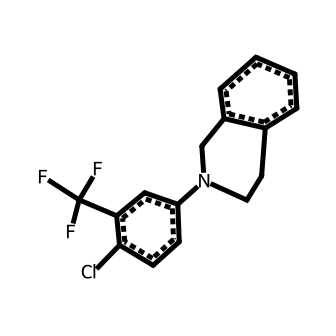 FC(F)(F)c1cc(N2CCc3ccccc3C2)ccc1Cl